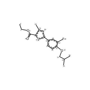 CCOC(=O)c1sc(-c2ccc(OCC(C)C)c(F)c2)nc1C